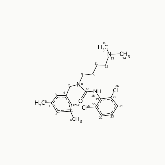 Cc1cc(C)cc(CN(CCCCN(C)C)C(=O)Nc2c(Cl)cccc2Cl)c1